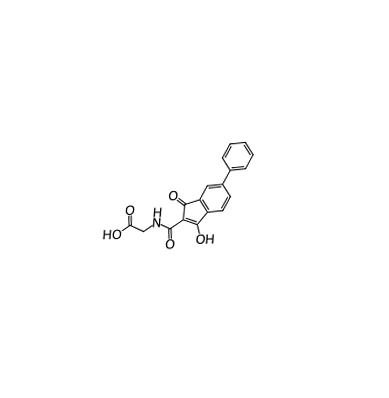 O=C(O)CNC(=O)C1=C(O)c2ccc(-c3ccccc3)cc2C1=O